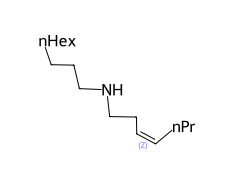 CCC/C=C\CCNCCCCCCCCC